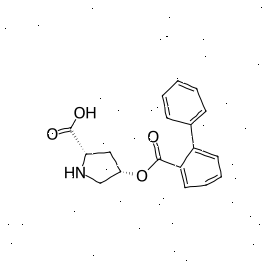 O=C(O[C@@H]1CN[C@H](C(=O)O)C1)c1ccccc1-c1ccccc1